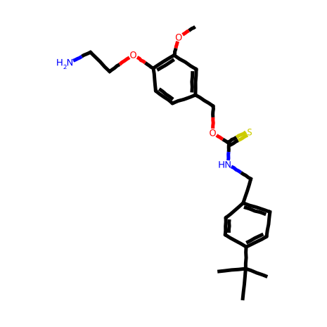 COc1cc(COC(=S)NCc2ccc(C(C)(C)C)cc2)ccc1OCCN